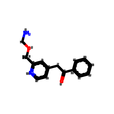 NCOBc1cc(CC(=O)c2ccccc2)ccn1